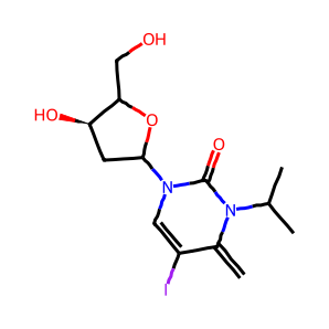 C=C1C(I)=CN(C2C[C@@H](O)C(CO)O2)C(=O)N1C(C)C